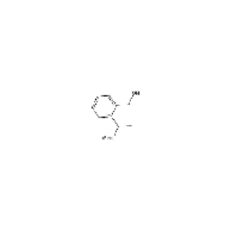 CCCCCC(F)c1ccccc1CO